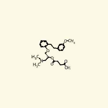 COc1cccc(CCc2ccccc2OC[C@H](CN(C)C)OC(=O)CCC(=O)O)c1